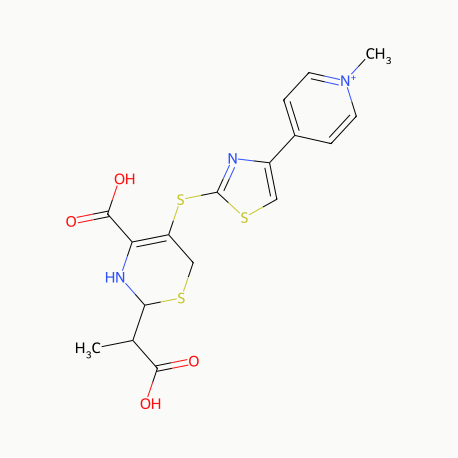 CC(C(=O)O)C1NC(C(=O)O)=C(Sc2nc(-c3cc[n+](C)cc3)cs2)CS1